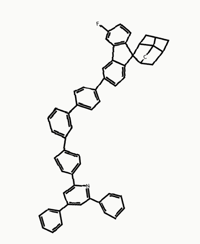 Fc1ccc2c(c1)-c1cc(-c3ccc(-c4cccc(-c5ccc(-c6cc(-c7ccccc7)cc(-c7ccccc7)n6)cc5)c4)cc3)ccc1C21C2CC3CC4CC1C34C2